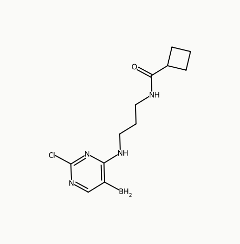 Bc1cnc(Cl)nc1NCCCNC(=O)C1CCC1